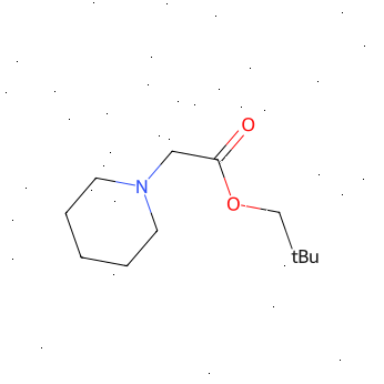 CC(C)(C)COC(=O)CN1CCCCC1